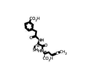 C=C=CC[C@@H](NC(=O)[C@H](CS)NC(=O)Cc1cccc(C(=O)O)c1)C(=O)O